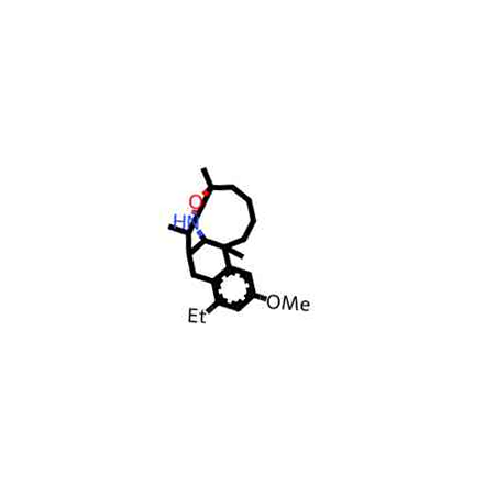 CCc1cc(OC)cc2c1CC1C(C)C3(C)CCCCC2(C)C1NO3